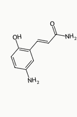 NC(=O)C=Cc1cc(N)ccc1O